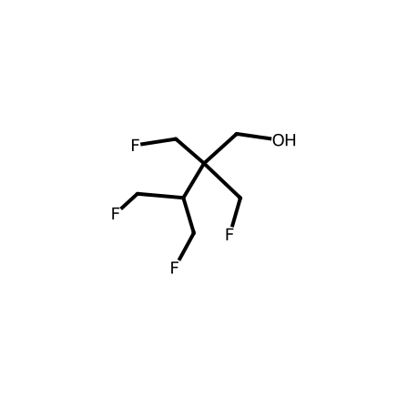 OCC(CF)(CF)C(CF)CF